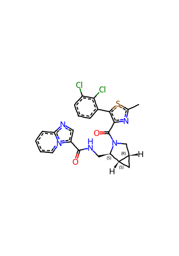 Cc1nc(C(=O)N2C[C@@H]3C[C@@H]3[C@H]2CNC(=O)c2cnc3ccccn23)c(-c2cccc(Cl)c2Cl)s1